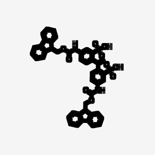 C=C(c1ccc(NC(=O)OCC2c3ccccc3-c3ccccc32)cc1S(=O)(=O)O)c1ccc(NC(=O)OCC2c3ccccc3-c3ccccc32)cc1S(=O)(=O)O